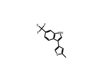 Cc1cc(-c2c[nH]c3cc(C(F)(F)F)ccc23)cs1